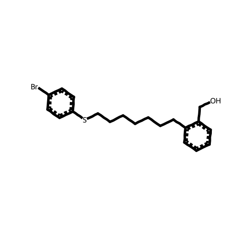 OCc1ccccc1CCCCCCCSc1ccc(Br)cc1